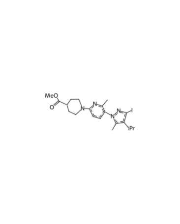 COC(=O)C1CCN(c2ccc(-n3nc(I)c(C(C)C)c3C)c(C)n2)CC1